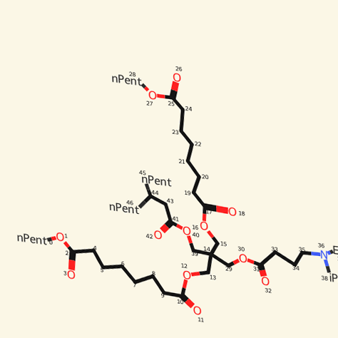 CCCCCOC(=O)CCCCCCC(=O)OCC(COC(=O)CCCCCCC(=O)OCCCCC)(COC(=O)CCCN(CC)C(C)C)COC(=O)CC(CCCCC)CCCCC